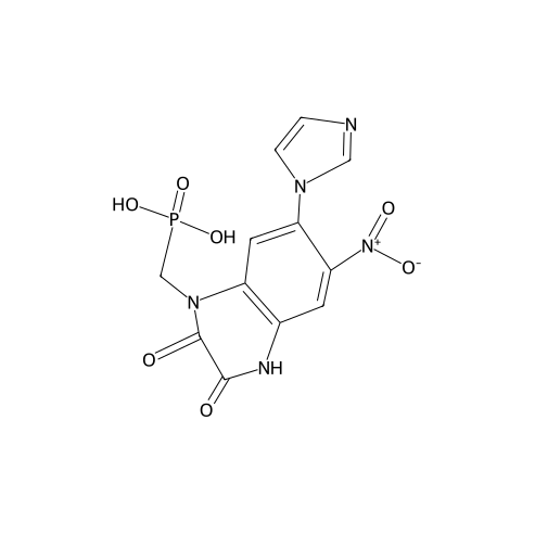 O=c1[nH]c2cc([N+](=O)[O-])c(-n3ccnc3)cc2n(CP(=O)(O)O)c1=O